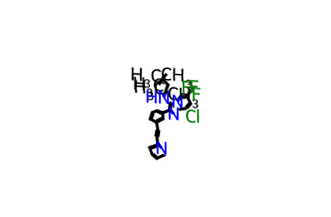 CC(C)(C)CC(C)(C)Nc1c(-c2cccc(C#Cc3ccccn3)c2)nc2c(Cl)cc(C(F)(F)F)cn12